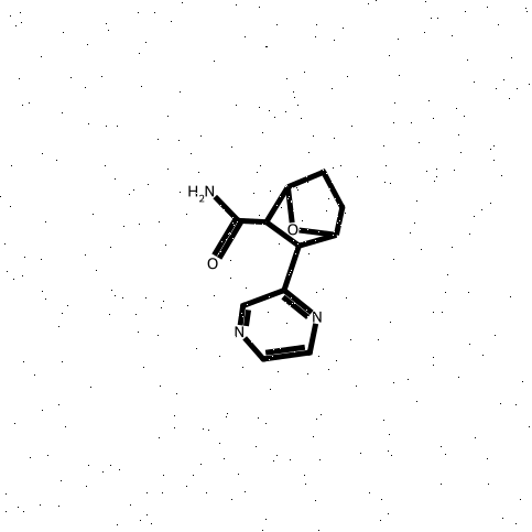 NC(=O)C1C2CCC(O2)C1c1cnccn1